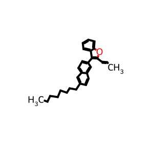 CC=Cc1oc2ccccc2c1-c1ccc2cc(CCCCCCCC)ccc2c1